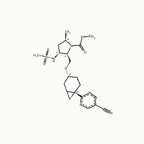 COC(=O)N1[C@H](C)C[C@H](NS(C)(=O)=O)[C@@H]1CO[C@@H]1CC[C@]2(c3ncc(C#N)cn3)CC2C1